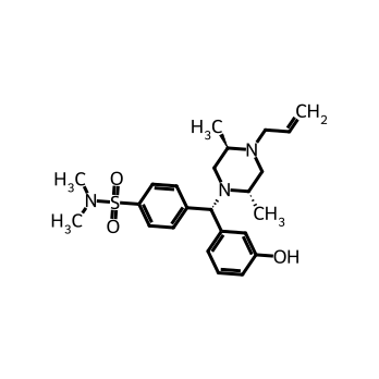 C=CCN1C[C@H](C)N([C@@H](c2ccc(S(=O)(=O)N(C)C)cc2)c2cccc(O)c2)C[C@H]1C